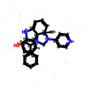 OCC(c1ccccc1)N1CN(c2ccncc2)[C@H]2C=CC=C3Nc4ccccc4C321